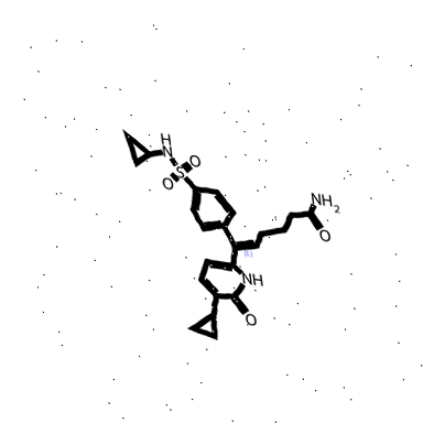 NC(=O)CCC/C=C(\c1ccc(S(=O)(=O)NC2CC2)cc1)c1ccc(C2CC2)c(=O)[nH]1